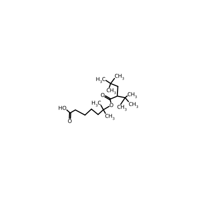 CC(C)(C)CC(C(=O)OC(C)(C)CCCCC(=O)O)C(C)(C)C